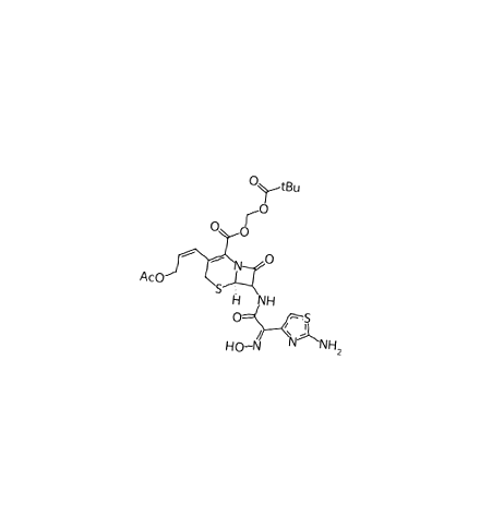 CC(=O)OC/C=C\C1=C(C(=O)OCOC(=O)C(C)(C)C)N2C(=O)C(NC(=O)/C(=N\O)c3csc(N)n3)[C@H]2SC1